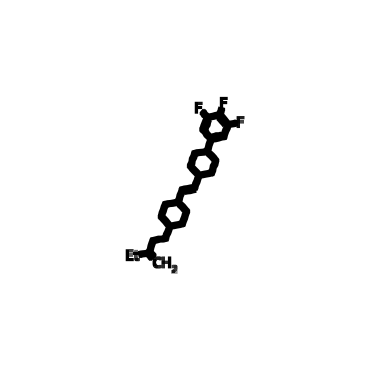 C=C(CC)CCC1CCC(C=CC2CCC(c3cc(F)c(F)c(F)c3)CC2)CC1